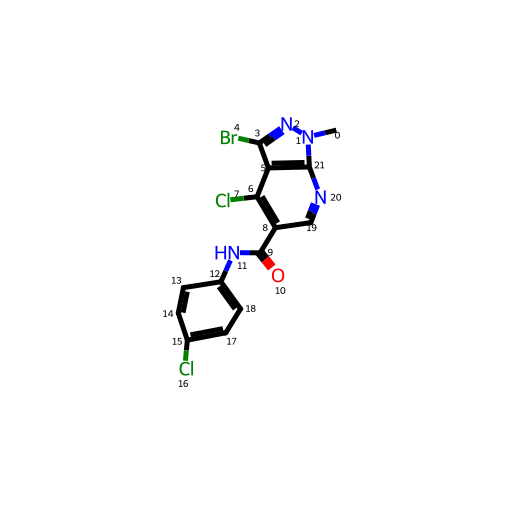 Cn1nc(Br)c2c(Cl)c(C(=O)Nc3ccc(Cl)cc3)cnc21